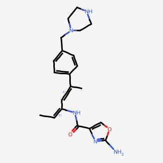 C/C=C(\C=C(/C)c1ccc(CN2CCNCC2)cc1)NC(=O)c1coc(N)n1